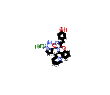 Cl.Cl.N[C@@H](Cc1ccc(O)cc1)C(=O)N(C(=O)[C@@H]1CCCN1)[C@@H](Cc1ccccn1)c1ccccc1